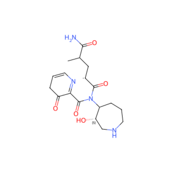 CC(C[CH]C(=O)N(C(=O)C1=NC=CCC1=O)C1CCCNC[C@@H]1O)C(N)=O